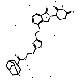 O=C1CCC(N2Cc3c(SCc4csc(CCNC(=O)C56CC7CC(CC(C7)C5)C6)n4)cccc3C2=O)C(=O)N1